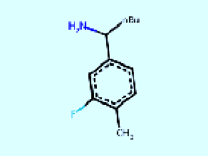 CCCCC(N)c1ccc(C)c(F)c1